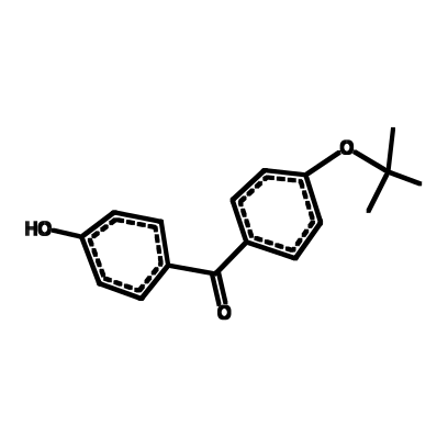 CC(C)(C)Oc1ccc(C(=O)c2ccc(O)cc2)cc1